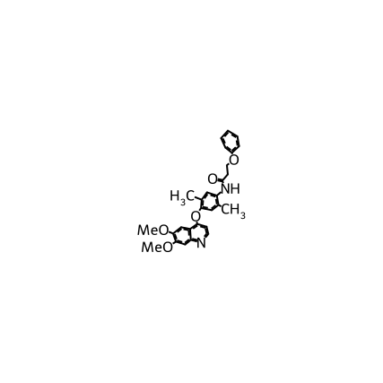 COc1cc2nccc(Oc3cc(C)c(NC(=O)CCOc4ccccc4)cc3C)c2cc1OC